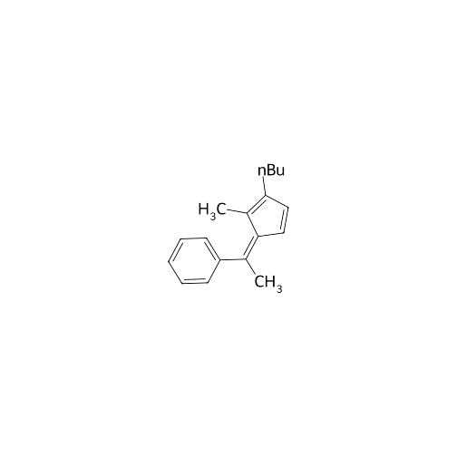 CCCCC1=C(C)C(=C(C)c2ccccc2)C=C1